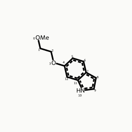 COCCOc1ccc2cc[nH]c2c1